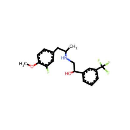 COc1ccc(CC(C)NCC(O)c2cccc(C(F)(F)F)c2)cc1F